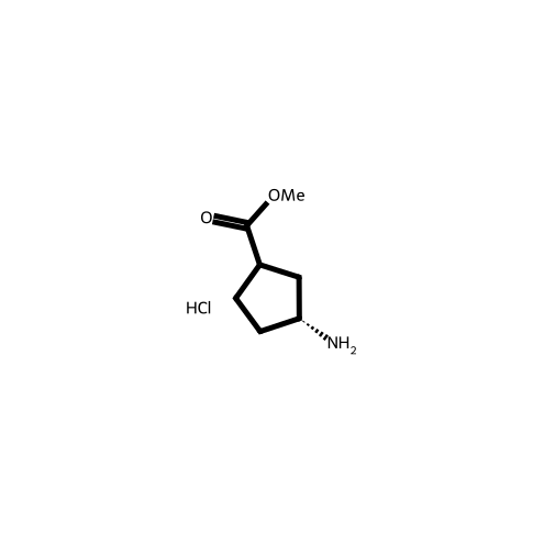 COC(=O)C1CC[C@@H](N)C1.Cl